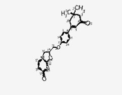 CC1(C)CC(=O)C=C(c2ccc(OC[C@@H]3Cn4ccc(=O)nc4O3)cc2)C1